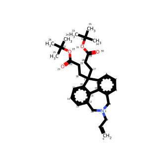 C=CCN1Cc2cccc3c2-c2c(cccc2C3(CCC(=O)OC(C)(C)C)CCC(=O)OC(C)(C)C)C1